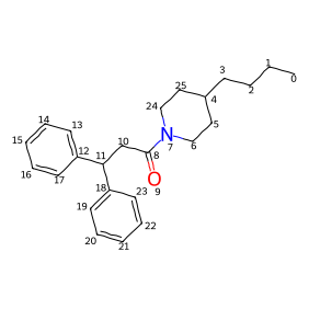 CCCCC1CCN(C(=O)CC(c2ccccc2)c2ccccc2)CC1